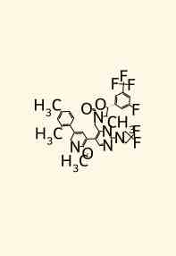 COc1ncc(-c2ccc(C)cc2C)cc1-c1cnc(N2CC(F)(F)C2)nc1CN1C(=O)O[C@H](c2cc(F)cc(C(F)(F)F)c2)[C@@H]1C